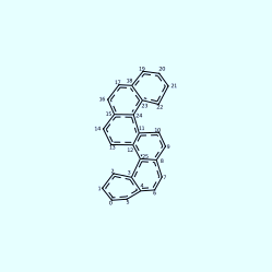 c1ccc2c(c1)ccc1ccc3c(ccc4ccc5ccccc5c43)c12